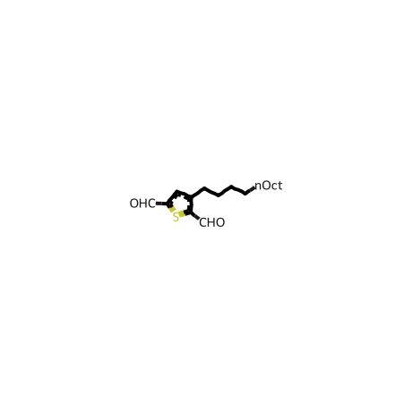 CCCCCCCCCCCCc1cc(C=O)sc1C=O